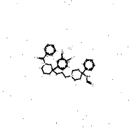 Cl.O=CNC1(c2ccccc2)CCN(CCCC2(c3ccc(Cl)c(Cl)c3)CCCN(C(=O)c3ccccc3)C2)CC1